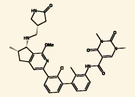 COc1nc(-c2cccc(-c3cccc(NC(=O)c4cn(C)c(=O)n(C)c4=O)c3C)c2Cl)cc2c1[C@@H](NC[C@@H]1CNC(=O)C1)[C@@H](C)C2